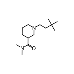 CN(C)C(=O)C1CCCN(CCC(C)(C)C)C1